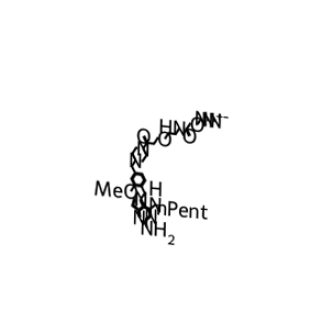 CCCCCNc1nc(N)nc2ccn(Cc3ccc(CN4CCN(C(=O)CCOCCNC(=O)CON=[N+]=[N-])CC4)cc3OC)c12